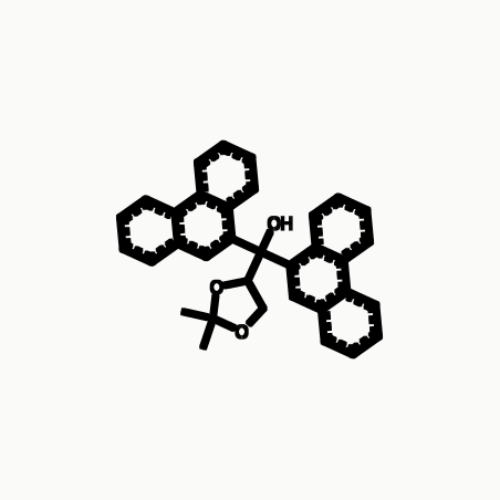 CC1(C)OCC(C(O)(c2cc3ccccc3c3ccccc23)c2cc3ccccc3c3ccccc23)O1